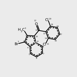 Cc1c(Br)c2ccccn2c1C(=O)c1c(Cl)cccc1Cl